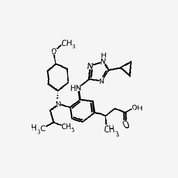 CO[C@H]1CC[C@H](N(CC(C)C)c2ccc([C@H](C)CC(=O)O)cc2Nc2n[nH]c(C3CC3)n2)CC1